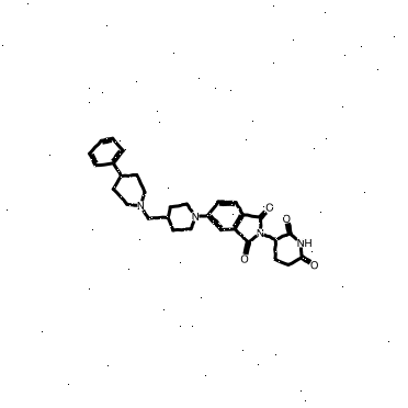 O=C1CCC(N2C(=O)c3ccc(N4CCC(CN5CCC(c6ccccc6)CC5)CC4)cc3C2=O)C(=O)N1